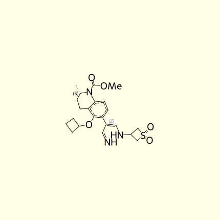 COC(=O)N1c2ccc(/C(C=N)=C/NC3CS(=O)(=O)C3)c(OC3CCC3)c2CC[C@@H]1C